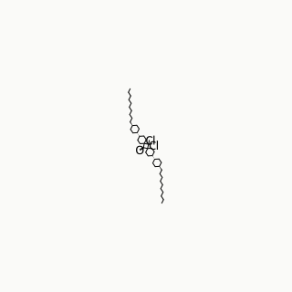 CCCCCCCCCC[C@H]1CC[C@H](C2CCC3(CC2)C(=O)C2(CCC([C@H]4CC[C@H](CCCCCCCCCC)CC4)CC2)C3(Cl)Cl)CC1